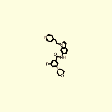 O=C(Nc1ccc2ccn(CCc3ccncc3)c2c1)c1cc(F)cc(N2CCOCC2)c1